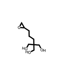 OCC(CO)(CO)CCCC1CO1